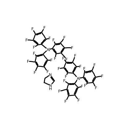 C1=NCCN1.Fc1c(F)c(F)[c]([Al]([c]2c(F)c(F)c(F)c(F)c2F)[c]2c(F)c(F)c(F)c(F)c2F)c(F)c1F.Fc1c(F)c(F)[c]([Al]([c]2c(F)c(F)c(F)c(F)c2F)[c]2c(F)c(F)c(F)c(F)c2F)c(F)c1F